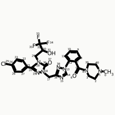 CN1CCN(C(=O)c2ccccc2-n2cnc(Cn3nc(-c4ccc(Cl)cc4)n(CC(O)C(F)(F)F)c3=O)n2)CC1